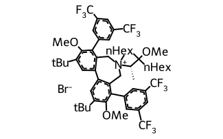 CCCCCCC(CCCCCC)(OC)[C@H](C)[N+]1(C)Cc2c(cc(C(C)(C)C)c(OC)c2-c2cc(C(F)(F)F)cc(C(F)(F)F)c2)-c2cc(C(C)(C)C)c(OC)c(-c3cc(C(F)(F)F)cc(C(F)(F)F)c3)c2C1.[Br-]